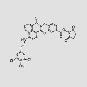 O=C(ON1C(=O)CCC1=O)c1ccc(CN2C(=O)c3cccc4c(NCCc5cc(Cl)c(O)c(Cl)c5)ccc(c34)C2=O)cc1